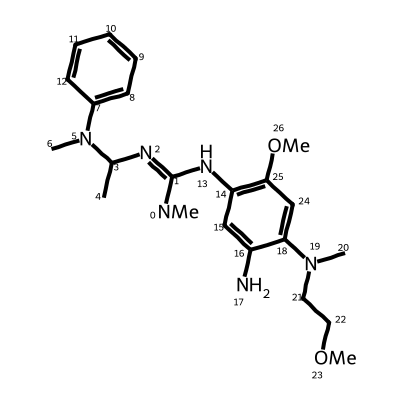 CN/C(=N\C(C)N(C)c1ccccc1)Nc1cc(N)c(N(C)CCOC)cc1OC